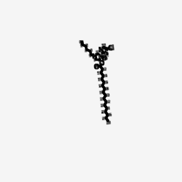 C=CCCCCN1CC(OC(=O)CCCCCCCCCCCCCCCCC)[N+]([O-])(c2ncc(Cl)s2)C1